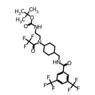 CC(C)(C)OC(=O)NCCN(C(=O)C(F)(F)F)C1CCC(CNC(=O)c2cc(C(F)(F)F)cc(C(F)(F)F)c2)CC1